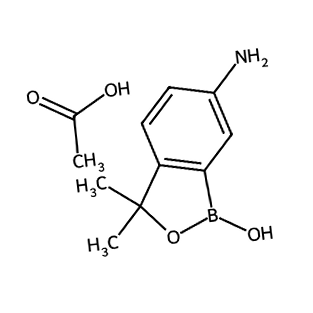 CC(=O)O.CC1(C)OB(O)c2cc(N)ccc21